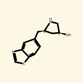 O[C@@H]1CN[C@H](Cc2ccc3scnc3c2)C1